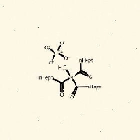 CCCCCCCC(=O)[N+](C)(C(=O)CCCCCCC)C(=O)CCCCCCC.[O-][Cl+3]([O-])([O-])[O-]